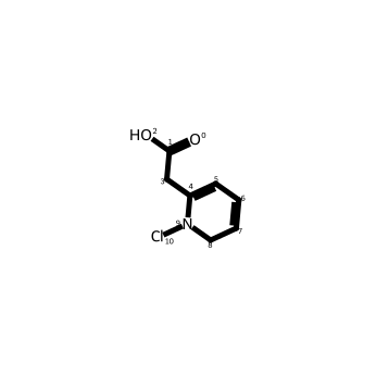 O=C(O)CC1=CC=CCN1Cl